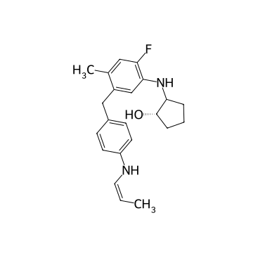 C/C=C\Nc1ccc(Cc2cc(NC3CCC[C@@H]3O)c(F)cc2C)cc1